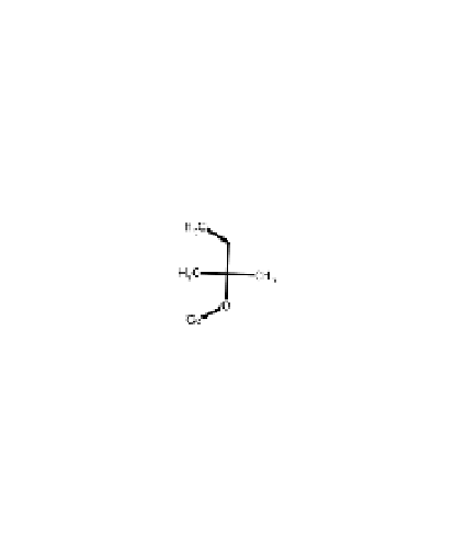 CCC(C)(C)[O][Ge]